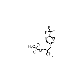 CC(COS(C)(=O)=O)Cc1cnc(C(F)(F)F)nc1